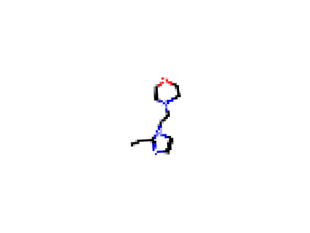 CCc1nccn1CCN1CCOCC1